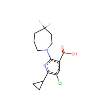 O=C(O)c1cc(Cl)c(C2CC2)nc1N1CCCC(F)(F)CC1